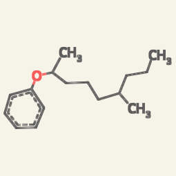 CCCC(C)CCCC(C)Oc1ccccc1